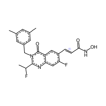 Cc1cc(C)cc(Cn2c(C(C)F)nc3cc(F)c(/C=C/C(=O)NO)cc3c2=O)c1